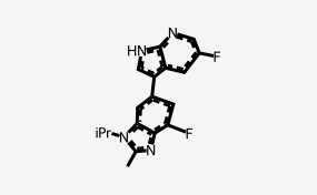 Cc1nc2c(F)cc(-c3c[nH]c4ncc(F)cc34)cc2n1C(C)C